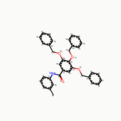 Cc1cccc(NC(=O)c2cc(OCc3ccccc3)c(OCc3ccccc3)c(OCc3ccccc3)c2)c1